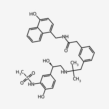 CC(C)(Cc1cccc(CC(=O)NCc2ccc(O)c3ccccc23)c1)NC[C@H](O)c1ccc(O)c(NS(C)(=O)=O)c1